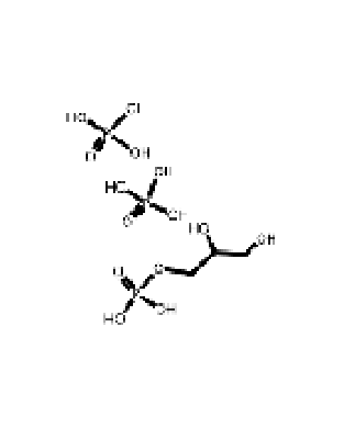 O=P(O)(O)O.O=P(O)(O)O.O=P(O)(O)OCC(O)CO